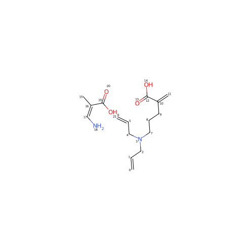 C=CCN(CC=C)CCCC(=C)C(=O)O.CC(=CN)C(=O)O